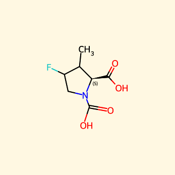 CC1C(F)CN(C(=O)O)[C@@H]1C(=O)O